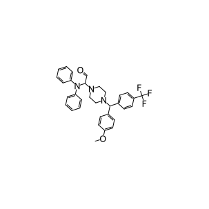 COc1ccc(C(c2ccc(C(F)(F)F)cc2)N2CCN(C(C=O)N(c3ccccc3)c3ccccc3)CC2)cc1